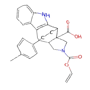 C=COC(=O)N1CC2C3(c4ccc(C)cc4)CCC(c4[nH]c5ccccc5c43)C2(C(=O)O)C1